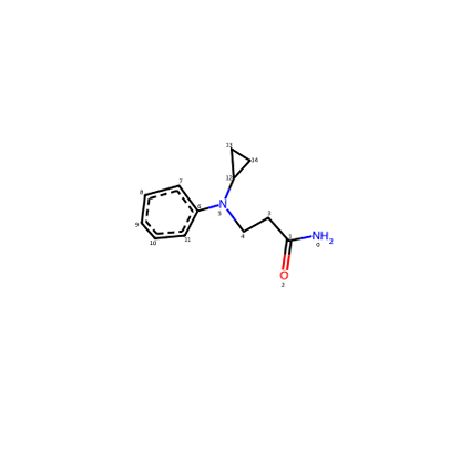 NC(=O)CCN(c1ccccc1)C1CC1